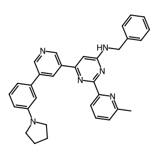 Cc1cccc(-c2nc(NCc3ccccc3)cc(-c3cncc(-c4cccc(N5CCCC5)c4)c3)n2)n1